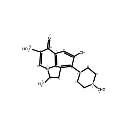 CC1Cc2c(N3CCN(C=O)CC3)c(Cl)cc3c(=O)c(C(=O)O)cn1c23